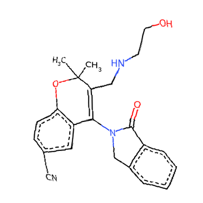 CC1(C)Oc2ccc(C#N)cc2C(N2Cc3ccccc3C2=O)=C1CNCCO